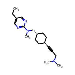 CCc1cnc(N(C)C[C@H]2CC[C@H](C#CCN(C)C)CC2)nc1